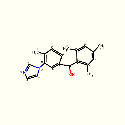 Cc1cc(C)c(C(O)c2ccc(C)c(-n3ccnc3)c2)c(C)c1